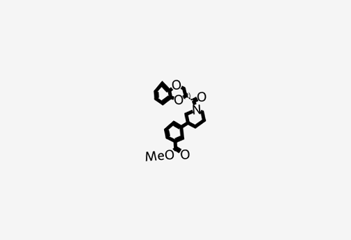 COC(=O)c1cccc(C2CCCN(C(=O)[C@H]3COc4ccccc4O3)C2)c1